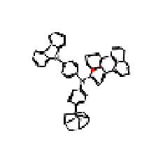 c1ccc(-c2cccc3cccc(-c4ccc(N(c5ccc(-n6c7ccccc7c7ccccc76)cc5)c5ccc(C67CC8CC(CC(C8)C6)C7)cc5)cc4)c23)cc1